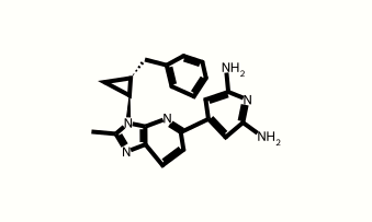 Cc1nc2ccc(-c3cc(N)nc(N)c3)nc2n1[C@H]1C[C@@H]1Cc1ccccc1